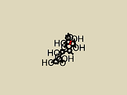 CC1=CC(c2ccc(O)c(C3Oc4cc(O)ccc4C(=O)C3O)c2)C(C(=O)c2ccc3c(c2O)C=CC(C)(C)O3)C(c2ccc(O)cc2O)C1